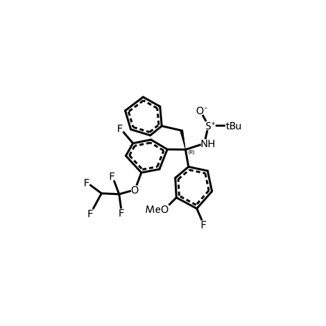 COc1cc([C@@](Cc2ccccc2)(N[S+]([O-])C(C)(C)C)c2cc(F)cc(OC(F)(F)C(F)F)c2)ccc1F